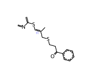 C=NC(=C)S/C=C(\C)CSCCC(=O)c1ccccc1